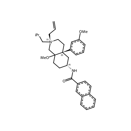 C=CC[N@@+]1(CC(C)C)CC[C@]2(c3cccc(OC)c3)C[C@H](NC(=O)c3ccc4ccccc4c3)CCC2(OC)C1